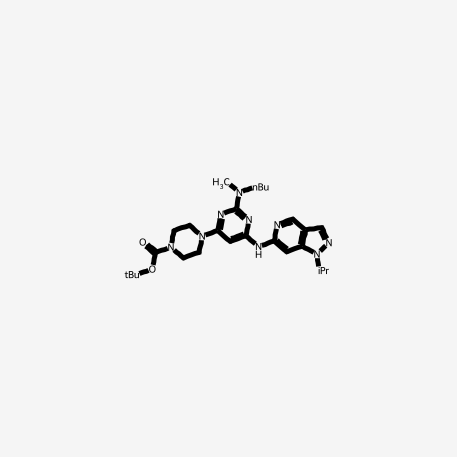 CCCCN(C)c1nc(Nc2cc3c(cn2)cnn3C(C)C)cc(N2CCN(C(=O)OC(C)(C)C)CC2)n1